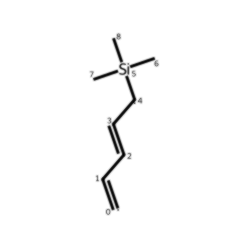 [CH]=CC=C[CH][Si](C)(C)C